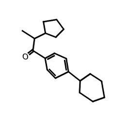 CC(C(=O)c1ccc(C2CCCCC2)cc1)C1CCCC1